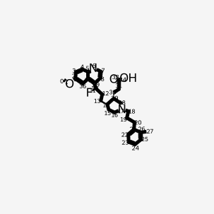 COc1ccc2nccc([C@H](F)CC[C@@H]3CCN(CCCc4ccccc4C)C[C@H]3CCC(=O)O)c2c1